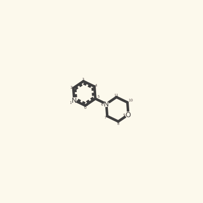 [c]1ncccc1N1CCOCC1